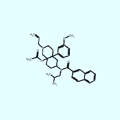 C=CCN1CCC2(c3cccc(OC)c3)CC(N(CC(C)C)C(=O)c3ccc4ccccc4c3)CCC2(OC(C)=O)C1